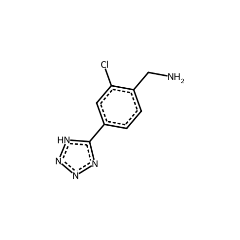 NCc1ccc(-c2nnn[nH]2)cc1Cl